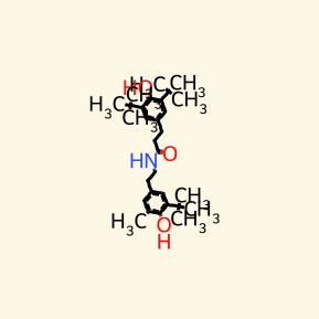 Cc1cc(CCNC(=O)CCc2cc(C(C)(C)C)c(O)c(C(C)(C)C)c2)cc(C(C)(C)C)c1O